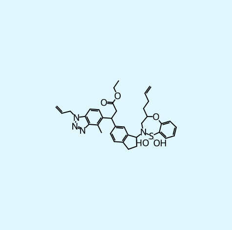 C=CCCC1CN(C2CCc3ccc(C(CC(=O)OCC)c4ccc5c(nnn5CC=C)c4C)cc32)S(O)(O)c2ccccc2O1